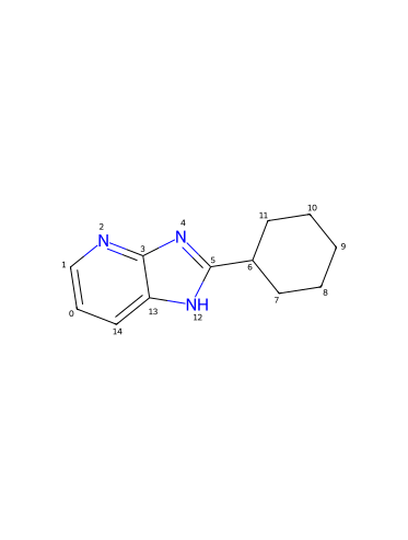 c1cnc2nc(C3CCCCC3)[nH]c2c1